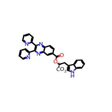 O=C(O[C@@H](Cc1c[nH]c2ccccc12)C(=O)O)c1ccc2nc(-c3ccccn3)c(-c3ccccn3)nc2c1